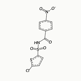 O=C(NS(=O)(=O)c1ccc(Cl)s1)c1ccc([N+](=O)[O-])cc1